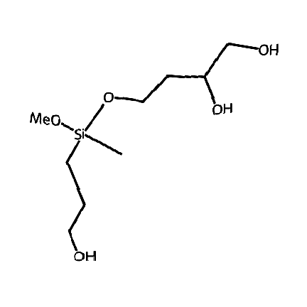 CO[Si](C)(CCCO)OCCC(O)CO